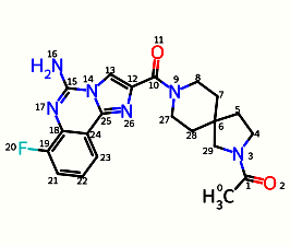 CC(=O)N1CCC2(CCN(C(=O)c3cn4c(N)nc5c(F)cccc5c4n3)CC2)C1